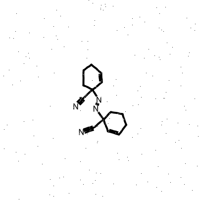 N#CC1(N=NC2(C#N)C=CCCC2)C=CCCC1